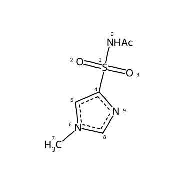 CC(=O)NS(=O)(=O)c1cn(C)cn1